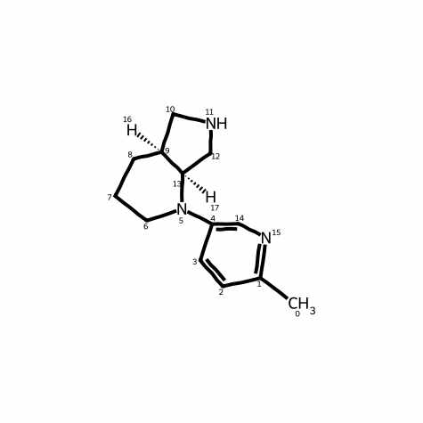 Cc1ccc(N2CCC[C@H]3CNC[C@H]32)cn1